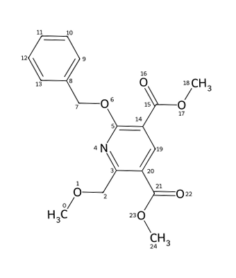 COCc1nc(OCc2ccccc2)c(C(=O)OC)cc1C(=O)OC